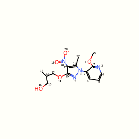 COc1ncccc1-n1nc(OCC(C)CO)c([N+](=O)[O-])c1C